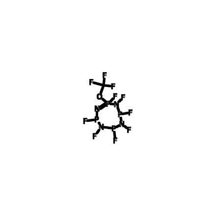 FN1P(F)N=P(F)(OC(F)(F)F)N(F)P(F)N(F)P1F